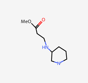 COC(=O)CCNC1CCC[N]C1